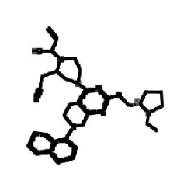 C=CC(O)N1CCN(c2nc(OC[C@@H]3CCCN3CC)nc3c2CCN(c2cccc4ccccc24)C3)CC1CC#N